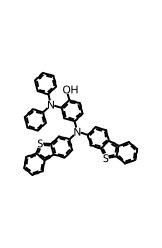 Oc1ccc(N(c2ccc3c(c2)sc2ccccc23)c2ccc3c(c2)sc2ccccc23)cc1N(c1ccccc1)c1ccccc1